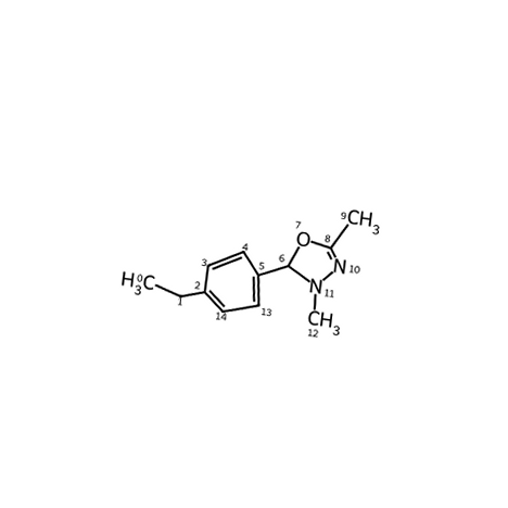 CCc1ccc(C2OC(C)=NN2C)cc1